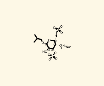 CC(C)CO[C@@H]1O[C@H](COS(=O)(=O)[O-])[C@H](O)[C@H](OS(=O)(=O)[O-])[C@H]1O.[Na+].[Na+]